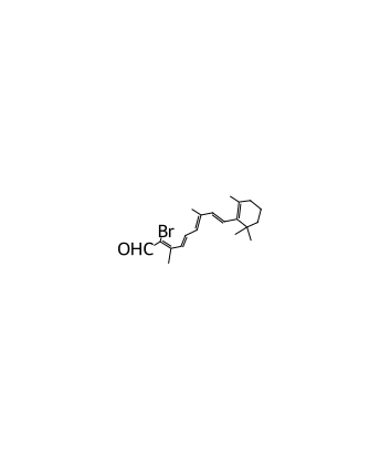 CC(C=CC1=C(C)CCCC1(C)C)=CC=CC(C)=C(Br)C=O